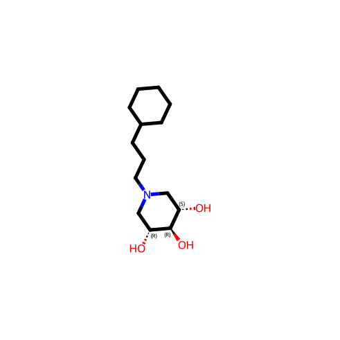 O[C@H]1[C@H](O)CN(CCCC2CCCCC2)C[C@@H]1O